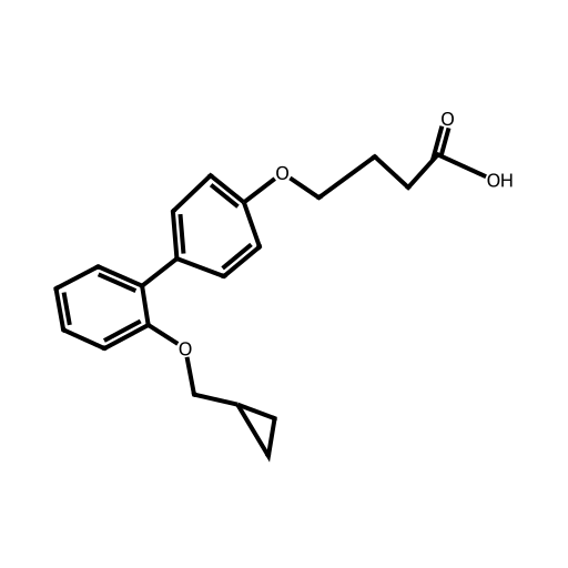 O=C(O)CCCOc1ccc(-c2ccccc2OCC2CC2)cc1